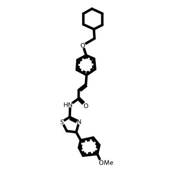 COc1ccc(C2CSC(NC(=O)/C=C/c3ccc(OCC4CCCCC4)cc3)=N2)cc1